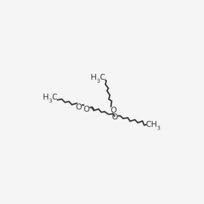 CCCCCCCCCOC(CCCCC=COCOCCCCCCC)OCCCCCCCCC